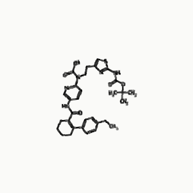 CCc1ccc(C2=C(C(=O)Nc3ccc(N(CCc4csc(NC(=O)OC(C)(C)C)n4)C(=O)O)nc3)CCCC2)cc1